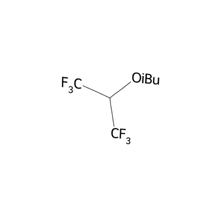 CC(C)[CH]OC(C(F)(F)F)C(F)(F)F